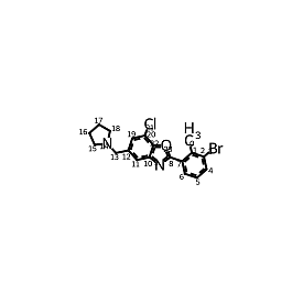 Cc1c(Br)cccc1-c1nc2cc(CN3CCCC3)cc(Cl)c2o1